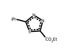 CCOC(=O)c1nnc(C(C)C)s1